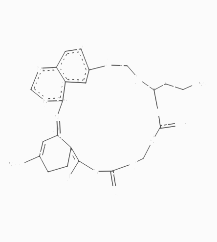 COCCC1CCOc2ccc3ncnc(c3c2)/N=C2\C=C(OC)CC\C2=C(\Cl)NC(=O)CCNC(=O)C1